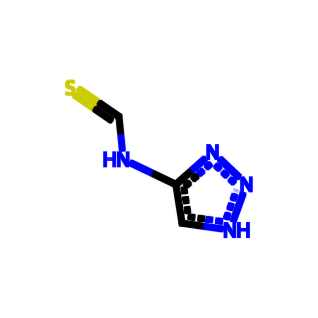 S=CNc1c[nH]nn1